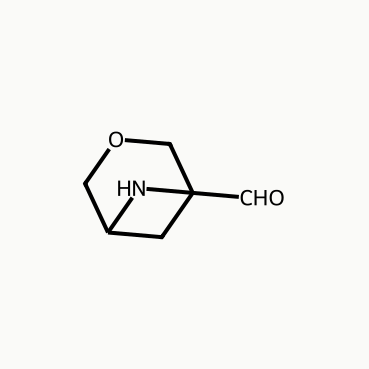 O=CC12COCC(C1)N2